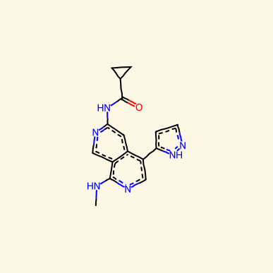 CNc1ncc(-c2ccn[nH]2)c2cc(NC(=O)C3CC3)ncc12